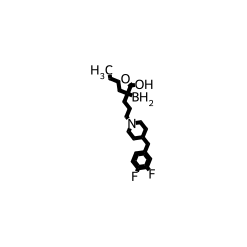 BC(CCCC)(CCCN1CCC(Cc2ccc(F)c(F)c2)CC1)C(=O)O